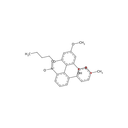 CCCCOc1cc(OC)cc(P(O)OCC)c1-c1c(-c2ccccc2)cccc1[N+](=O)[O-]